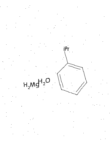 CC(C)c1ccccc1.O.[MgH2]